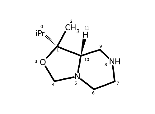 CC(C)[C@@]1(C)OCN2CCNC[C@H]21